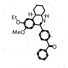 CCOc1cc2c(cc1OC)C(c1ccc(C(=O)c3ccccc3)cc1)=N[C@@H]1CCCC[C@H]21